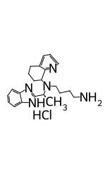 C[C@@H](c1nc2ccccc2[nH]1)N(CCCCN)C1CCCc2cccnc21.Cl